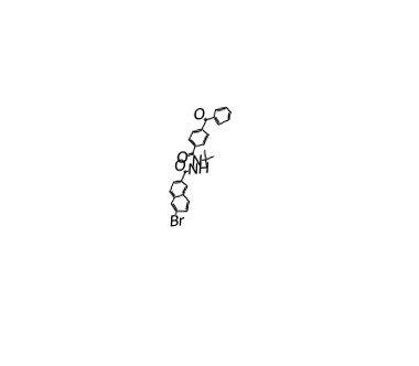 CC(C)(C)N(NC(=O)c1ccc2cc(Br)ccc2c1)C(=O)c1ccc(C(=O)c2ccccc2)cc1